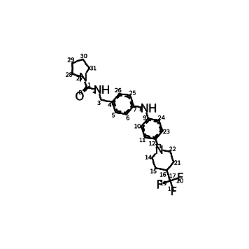 O=C(NCc1ccc(Nc2ccc(N3CCC(C(F)(F)F)CC3)cc2)cc1)N1CCCC1